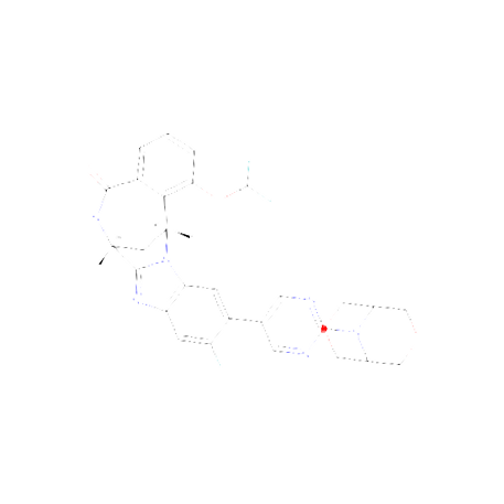 O=C1N[C@@H]2C[C@H](c3c(OC(F)F)cccc31)n1c2nc2cc(F)c(-c3cnc(N4C5COCC4COC5)nc3)cc21